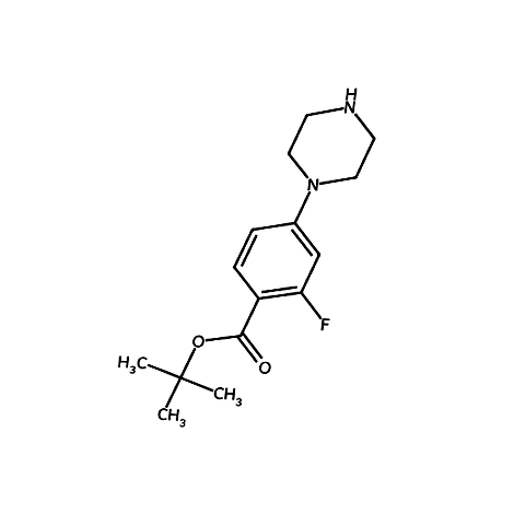 CC(C)(C)OC(=O)c1ccc(N2CCNCC2)cc1F